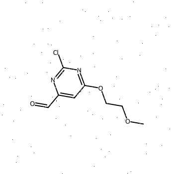 COCCOc1cc(C=O)nc(Cl)n1